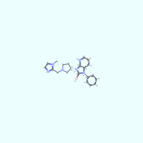 Cn1ccnc1CN1CC[C@H](n2c(=O)n(-c3ccccc3)c3cccnc32)C1